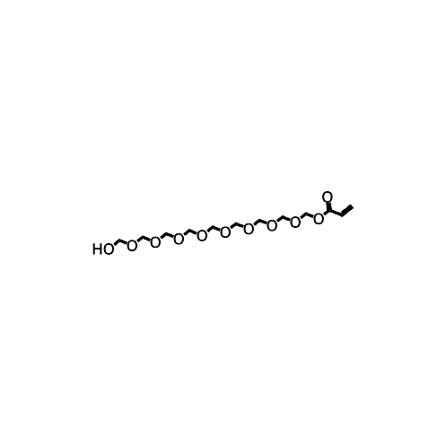 C=CC(=O)OCOCOCOCOCOCOCOCOCO